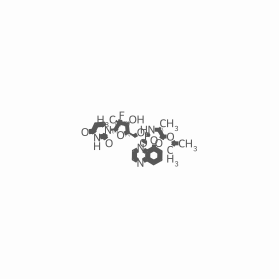 CC(C)OC(=O)[C@H](C)NP(=O)(OC[C@H]1O[C@@H](n2ccc(=O)[nH]c2=O)[C@](C)(F)[C@@H]1O)Oc1cccc2nccnc12